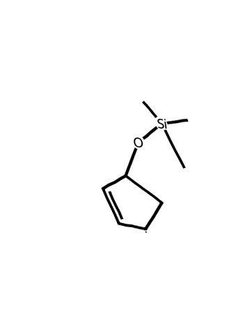 C[Si](C)(C)OC1C=C[CH]C1